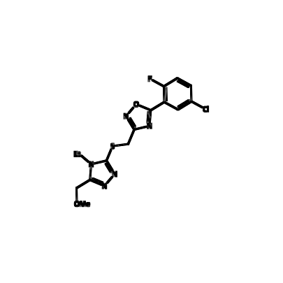 CCn1c(COC)nnc1SCc1noc(-c2cc(Cl)ccc2F)n1